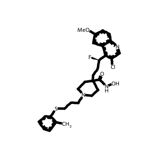 COc1ccc2ncc(Cl)c([C@H](F)CCC3(C(=O)NO)CCN(CCCSc4ccccc4C)CC3)c2c1